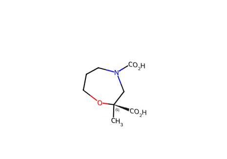 C[C@@]1(C(=O)O)CN(C(=O)O)CCCO1